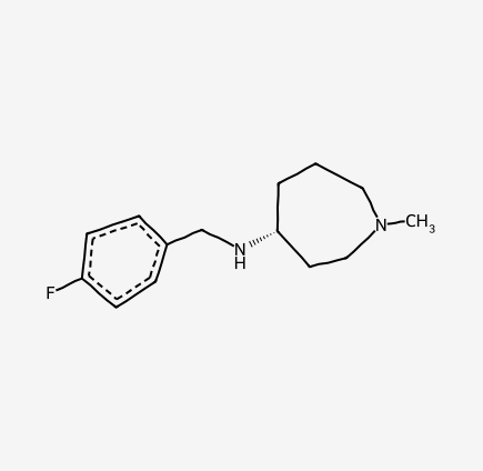 CN1CCC[C@@H](NCc2ccc(F)cc2)CC1